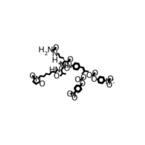 CC(C)[C@H](NC(=O)CCCCCN1C(=O)C=CC1=O)C(=O)N(C)[C@@H](CCCNC(N)=O)C(=O)Nc1ccc(C=C(COC(=O)Oc2ccc([N+](=O)[O-])cc2)COC(=O)Oc2ccc([N+](=O)[O-])cc2)cc1